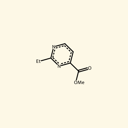 CCc1nccc(C(=O)OC)n1